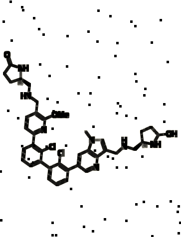 COc1nc(-c2cccc(-c3cccc(-c4cnc5c(CNC[C@H]6CCC(O)N6)cn(C)c5c4)c3Cl)c2Cl)ccc1CNC[C@H]1CCC(=O)N1